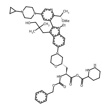 CCn1c(-c2cc(N3CCN(C4CC4)CC3)cnc2[C@H](C)OC)c(CC(C)(C)CO)c2cc(N3CCO[C@@H](C[C@H](NC(=O)OCc4ccccc4)C(=O)OC(=O)C4CCCNN4)C3)ccc21